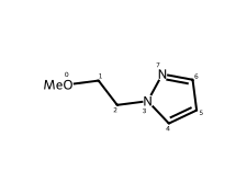 COCCn1cccn1